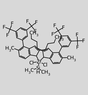 CCCCC1=Cc2c(ccc(C)c2-c2cc(C(F)(F)F)cc(C(F)(F)F)c2)[CH]1[Zr]([Cl])([Cl])([CH]1C(CCCC)=Cc2c1ccc(C)c2-c1cc(C(F)(F)F)cc(C(F)(F)F)c1)[SiH](C)C